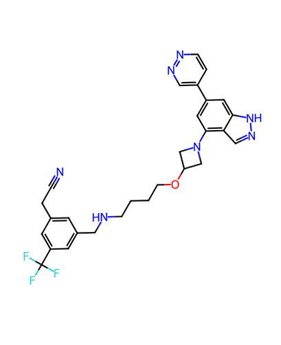 N#CCc1cc(CNCCCCOC2CN(c3cc(-c4ccnnc4)cc4[nH]ncc34)C2)cc(C(F)(F)F)c1